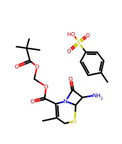 CC1=C(C(=O)OCOC(=O)C(C)(C)C)N2C(=O)C(N)C2SC1.Cc1ccc(S(=O)(=O)O)cc1